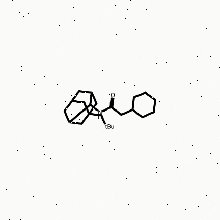 CC(C)(C)CC12CC3CC(C1)C(NC(=O)CC1CCCCC1)C(C3)C2